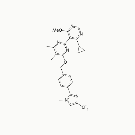 COc1ncnc(C2CC2)c1-c1nc(C)c(C)c(OCc2ccc(-c3nc(C(F)(F)F)cn3C)cc2)n1